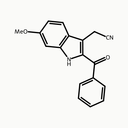 COc1ccc2c(CC#N)c(C(=O)c3ccccc3)[nH]c2c1